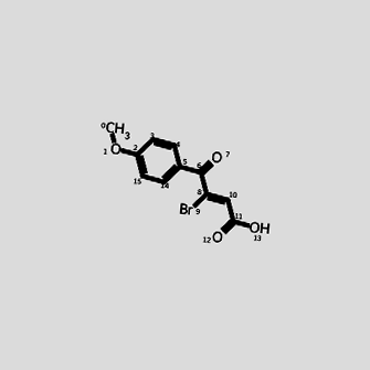 COc1ccc(C(=O)C(Br)=CC(=O)O)cc1